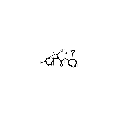 Nc1nn2cc(F)cnc2c1C(=O)Nc1cnncc1C1CC1